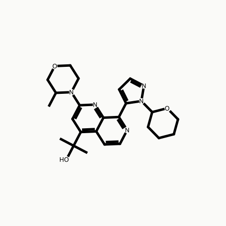 CC1COCCN1c1cc(C(C)(C)O)c2ccnc(-c3ccnn3C3CCCCO3)c2n1